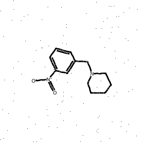 O=[N+]([O-])c1cccc(CN2CC[CH]CC2)c1